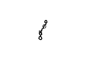 C1CCC(CCOCCCCCN2CCC(C3CCCCCC3)CC2)CC1